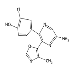 Cc1ncoc1-c1nc(N)cnc1-c1ccc(O)c(Cl)c1